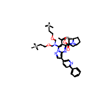 C=C(C)c1c(C2CC3CCC(C2)N3C(=O)OC(C)(C)C)nc2c(-c3ccc(-c4ccccc4)nc3)cnn2c1N(COCC[Si](C)(C)C)COCC[Si](C)(C)C